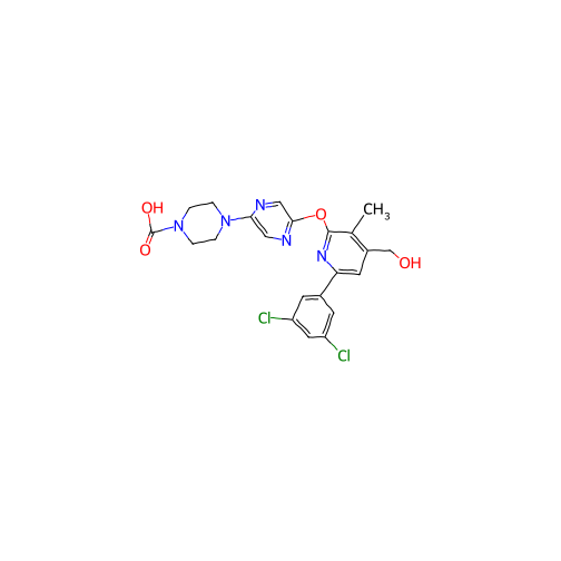 Cc1c(CO)cc(-c2cc(Cl)cc(Cl)c2)nc1Oc1cnc(N2CCN(C(=O)O)CC2)cn1